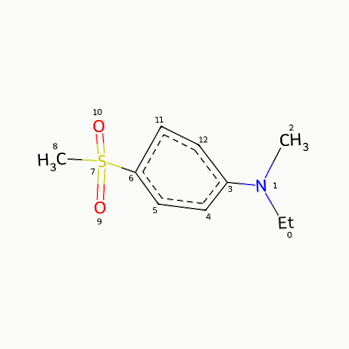 CCN(C)c1ccc(S(C)(=O)=O)cc1